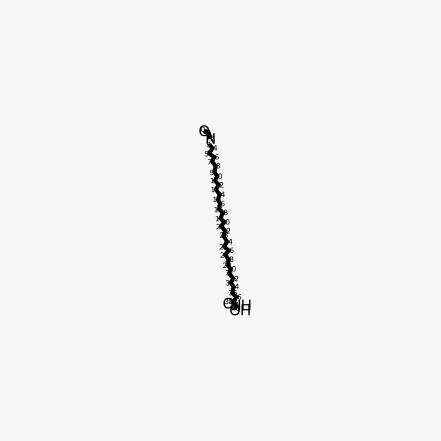 O=C=NCCCCCCCCCCCCCCCCCCCCCCCCCCCCCCCCCCC(=O)NO